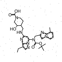 CCc1cnn2c(N(Cc3cn4cccc(C)c4n3)C(=O)OC(C)(C)C)cc(NCC3CCN(C(=O)O)CC3O)nc12